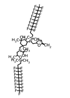 C=C1COC(CN(C2CC(C)(C)CC(C)(CN(CC(C)O[Si](C)(C)CCC(F)(F)C(F)(F)C(F)(F)C(F)(F)C(F)(F)C(F)(F)C(F)(F)C(F)(F)F)C(=O)O)C2)[Si](C)(C)CCC(F)(F)C(F)(F)C(F)(F)C(F)(F)C(F)(F)C(F)(F)C(F)(F)C(F)(F)F)O1